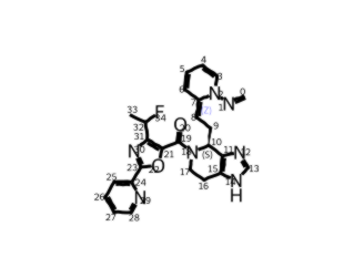 C=NN1C=CC=C/C1=C/C[C@H]1c2nc[nH]c2CCN1C(=O)c1oc(-c2ccccn2)nc1C(C)F